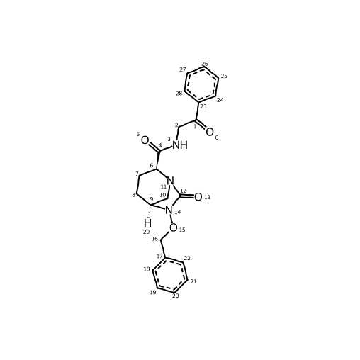 O=C(CNC(=O)[C@@H]1CC[C@H]2CN1C(=O)N2OCc1ccccc1)c1ccccc1